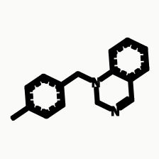 Cc1ccc(CN2CN=Cc3ccccc32)cc1